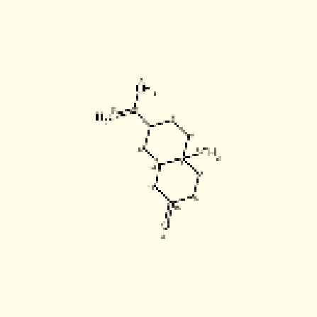 C=C(C)C1CCC2(C)CCC(=O)CC2C1